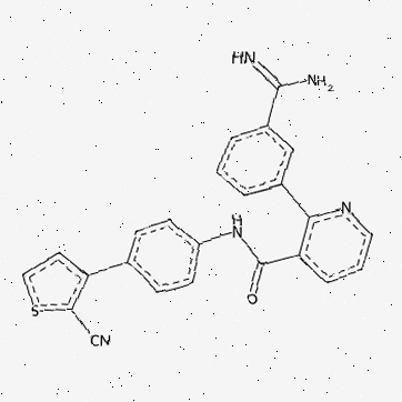 N#Cc1sccc1-c1ccc(NC(=O)c2cccnc2-c2cccc(C(=N)N)c2)cc1